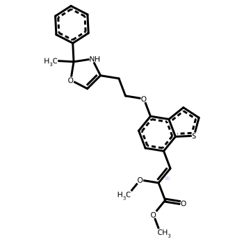 COC(=O)/C(=C/c1ccc(OCCC2=COC(C)(c3ccccc3)N2)c2ccsc12)OC